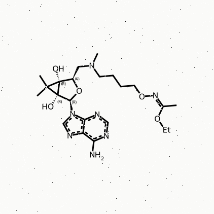 CCOC(C)=NOCCCCN(C)C[C@H]1O[C@@H](n2cnc3c(N)ncnc32)[C@@]2(O)C(C)(C)[C@@]12O